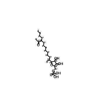 CCCCC(CCCCCCCC(C)C1OC(COP(=O)(O)O)C(O)C1O)C(C)=O